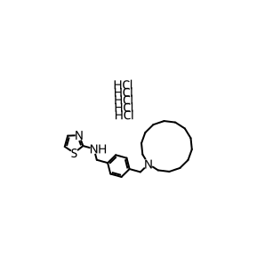 Cl.Cl.Cl.Cl.Cl.c1csc(NCc2ccc(CN3CCCCCCCCCCCCC3)cc2)n1